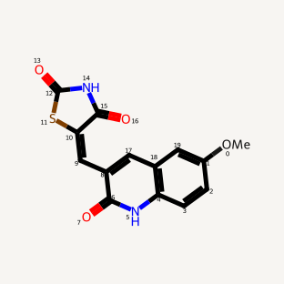 COc1ccc2[nH]c(=O)c(C=C3SC(=O)NC3=O)cc2c1